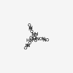 O=C1C(=CNc2ccc(N=Nc3ccccc3)cc2)C(=O)C(=CNc2ccc(N=Nc3ccccc3)cc2)C(=O)C1=CNc1ccc(N=Nc2ccccc2)cc1